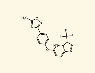 Cc1nc(-c2ccc(OC3=CC=C4N=NC(C(F)(F)F)N4N3)cc2)no1